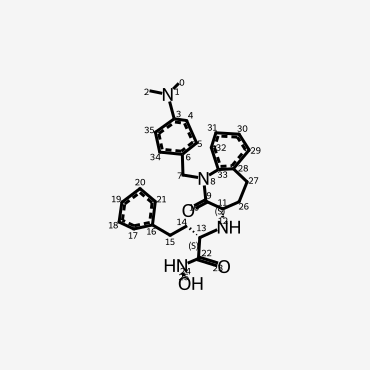 CN(C)c1ccc(CN2C(=O)[C@@H](N[C@@H](CCc3ccccc3)C(=O)NO)CCc3ccccc32)cc1